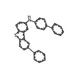 c1ccc(-c2ccc(Nc3ccc4sc5ccc(-c6ccccc6)cc5c4c3)cc2)cc1